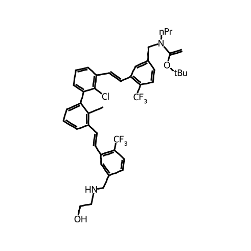 C=C(OC(C)(C)C)N(CCC)Cc1ccc(C(F)(F)F)c(/C=C/c2cccc(-c3cccc(/C=C/c4cc(CNCCO)ccc4C(F)(F)F)c3C)c2Cl)c1